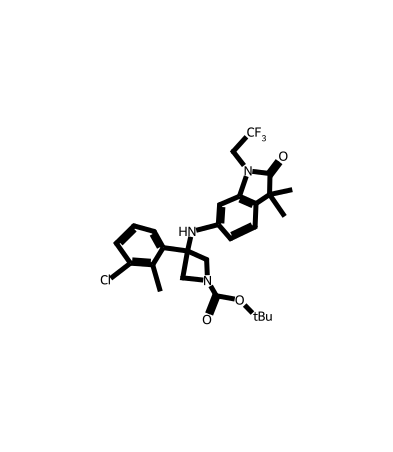 Cc1c(Cl)cccc1C1(Nc2ccc3c(c2)N(CC(F)(F)F)C(=O)C3(C)C)CN(C(=O)OC(C)(C)C)C1